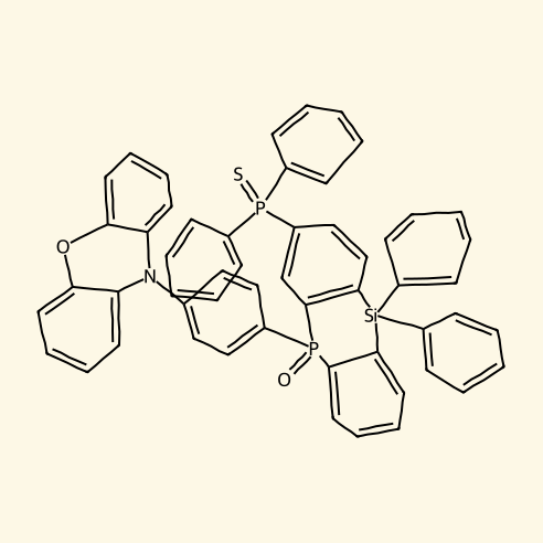 O=P1(c2ccc(N3c4ccccc4Oc4ccccc43)cc2)c2ccccc2[Si](c2ccccc2)(c2ccccc2)c2ccc(P(=S)(c3ccccc3)c3ccccc3)cc21